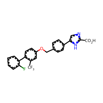 O=C(O)c1ncc(-c2ccc(COc3ccc(-c4ccccc4F)c(C(F)(F)F)c3)cc2)[nH]1